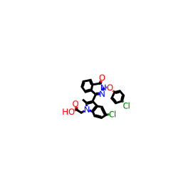 Cc1c(-c2nn(Oc3ccc(Cl)cc3)c(=O)c3ccccc23)c2cc(Cl)ccc2n1CC(=O)O